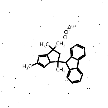 CC1=CC2C(=C1)C(C)(C)CC2(C)C1c2ccccc2-c2ccccc21.[Cl-].[Cl-].[Zr+2]